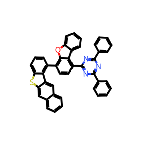 c1ccc(-c2nc(-c3ccccc3)nc(-c3ccc(-c4cccc5sc6cc7ccccc7cc6c45)c4oc5ccccc5c34)n2)cc1